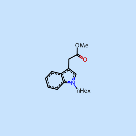 CCCCCCn1cc(CC(=O)OC)c2ccccc21